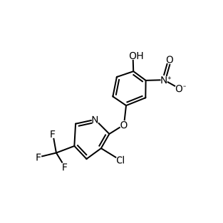 O=[N+]([O-])c1cc(Oc2ncc(C(F)(F)F)cc2Cl)ccc1O